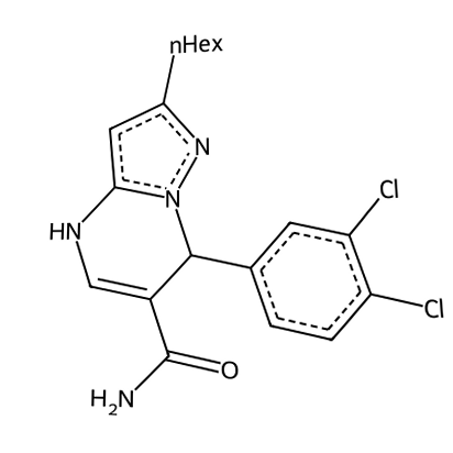 CCCCCCc1cc2n(n1)C(c1ccc(Cl)c(Cl)c1)C(C(N)=O)=CN2